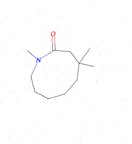 CN1CCCCCC(C)(C)CC1=O